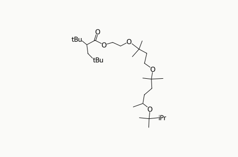 CC(CCC(C)(C)OCCC(C)(C)OCCOC(=O)C(CC(C)(C)C)C(C)(C)C)OC(C)(C)C(C)C